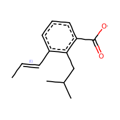 C/C=C/c1cccc(C([O])=O)c1CC(C)C